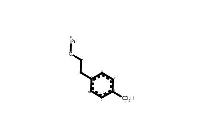 CC(C)OCCc1ccc(C(=O)O)cc1